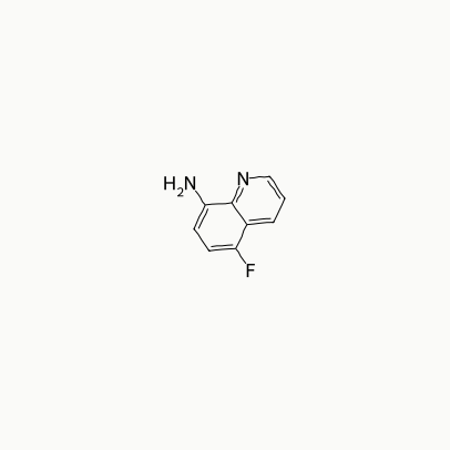 Nc1ccc(F)c2cccnc12